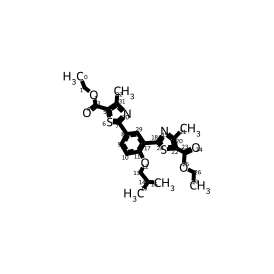 CCOC(=O)c1sc(-c2ccc(OCC(C)C)c(-c3nc(C)c(C(=O)OCC)s3)c2)nc1C